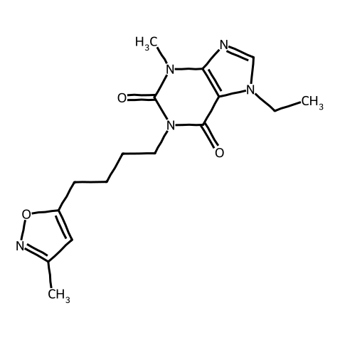 CCn1cnc2c1c(=O)n(CCCCc1cc(C)no1)c(=O)n2C